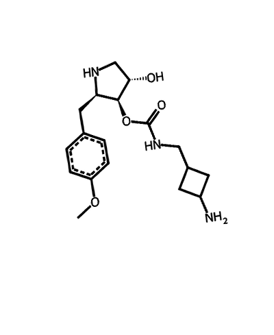 COc1ccc(C[C@H]2NC[C@H](O)[C@H]2OC(=O)NCC2CC(N)C2)cc1